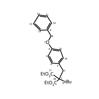 CCCCC(Cc1ccc(OCc2ccccc2)cc1)(C(=O)OCC)C(=O)OCC